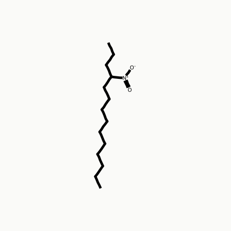 CCCCCCCCCCC(CCC)[N+](=O)[O-]